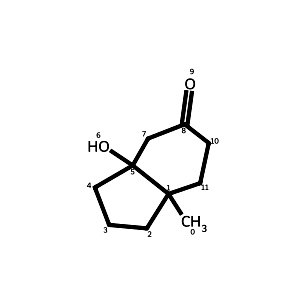 CC12CCCC1(O)CC(=O)CC2